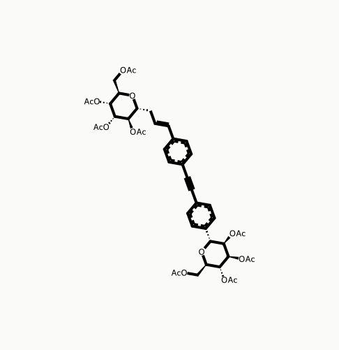 CC(=O)OC[C@H]1O[C@H](C/C=C/c2ccc(C#Cc3ccc([C@H]4O[C@H](COC(C)=O)[C@@H](OC(C)=O)[C@H](OC(C)=O)[C@@H]4OC(C)=O)cc3)cc2)[C@@H](OC(C)=O)[C@H](OC(C)=O)[C@@H]1OC(C)=O